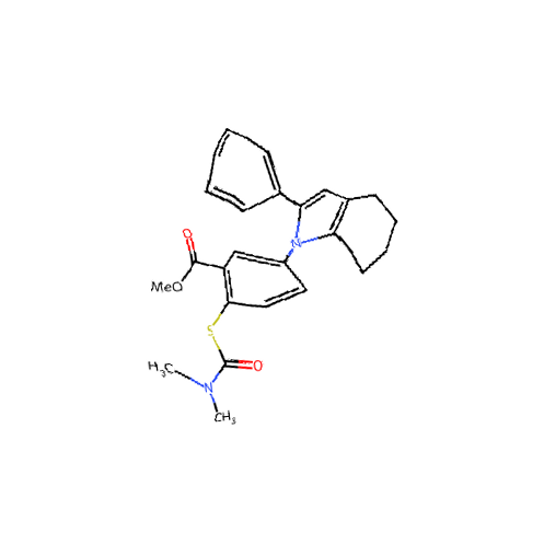 COC(=O)c1cc(-n2c(-c3ccccc3)cc3c2CCCC3)ccc1SC(=O)N(C)C